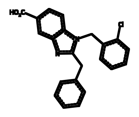 O=C(O)c1ccc2c(c1)nc(Cc1ccccc1)n2Cc1ccccc1Cl